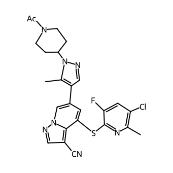 CC(=O)N1CCC(n2ncc(-c3cc(Sc4nc(C)c(Cl)cc4F)c4c(C#N)cnn4c3)c2C)CC1